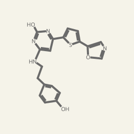 Oc1ccc(CCNc2cc(-c3ccc(-c4cnco4)s3)nc(O)n2)cc1